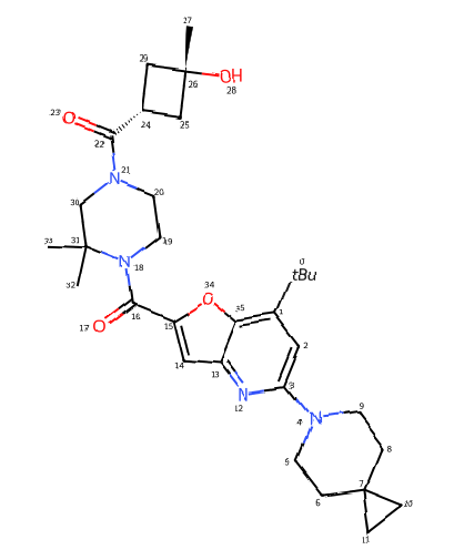 CC(C)(C)c1cc(N2CCC3(CC2)CC3)nc2cc(C(=O)N3CCN(C(=O)[C@H]4C[C@@](C)(O)C4)CC3(C)C)oc12